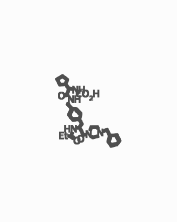 CCC(=O)NC(Cc1ccc(CNC(=O)C(NC(=O)O)C2CCCC2)cc1)C(=O)N1CCN(Cc2ccccc2)CC1